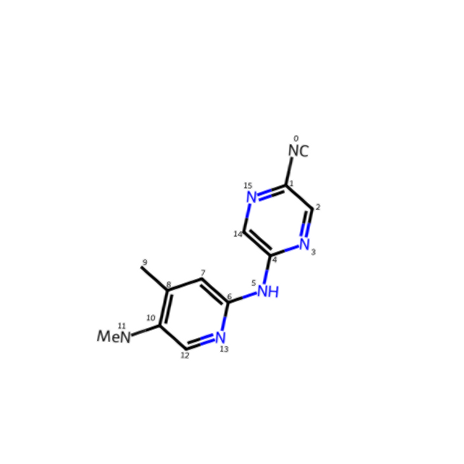 [C-]#[N+]c1cnc(Nc2cc(C)c(NC)cn2)cn1